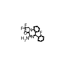 N[C@H]1N=C(c2ccccc2F)c2ccccc2N(CC(F)(F)F)C1=O